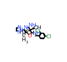 C#CC(C)(C(=O)NCc1ccc(Cl)cc1Cl)/C(N)=N\C(=C(C)C)n1nccn1